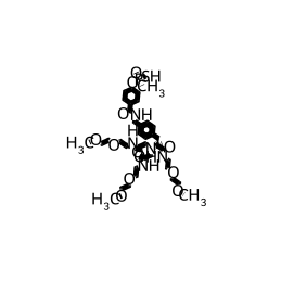 COCCOCCNC(=O)CN(CC(=O)NCCOCCOC)[C@@H](Cc1ccc(CNC(=O)C2CCC(OP(C)(=O)S)CC2)cc1)C(=O)NCCOCCOC